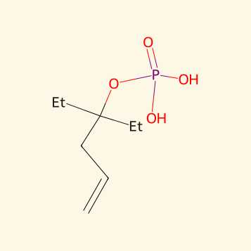 C=CCC(CC)(CC)OP(=O)(O)O